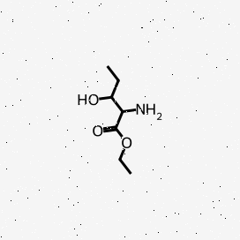 CCOC(=O)C(N)C(O)CC